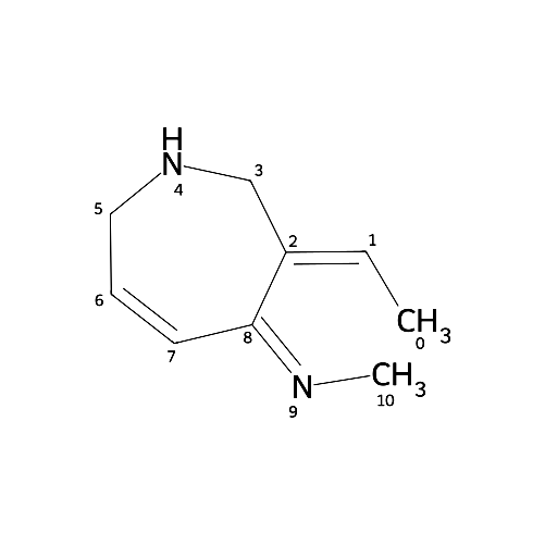 C/C=C1/CNCC=C/C1=N/C